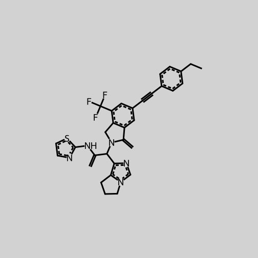 C=C(Nc1nccs1)C(c1ncn2c1CCC2)N1Cc2c(cc(C#Cc3ccc(CC)cc3)cc2C(F)(F)F)C1=C